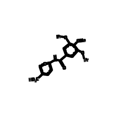 COc1c(OC(C)C)cc(C(=O)Nc2ccc(C(=O)O)cc2)cc1OC(C)C